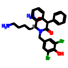 NCCCC[C@H](C(N)=O)N(Cc1cc(Br)c(O)c(Br)c1)C(=O)C(c1ccccc1)c1ccccc1